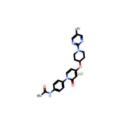 CCCc1cnc(N2CCC(Oc3ccn(-c4ccc(NC(=O)C(C)(C)C)cc4)c(=O)c3)CC2)nc1.Cl